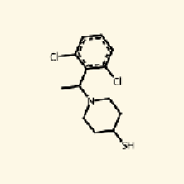 CC(c1c(Cl)cccc1Cl)N1CCC(S)CC1